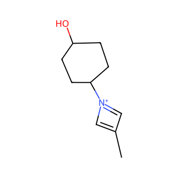 CC1=C[N+](C2CCC(O)CC2)=C1